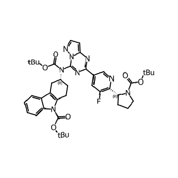 CC(C)(C)OC(=O)N1CCC[C@@H]1c1ncc(-c2nc(N(C(=O)OC(C)(C)C)[C@@H]3CCc4c(c5ccccc5n4C(=O)OC(C)(C)C)C3)n3nccc3n2)cc1F